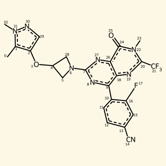 Cc1c(OC2CN(c3nc(-c4ccc(C#N)cc4F)c4nc(C(F)(F)F)n(C)c(=O)c4n3)C2)cnn1C